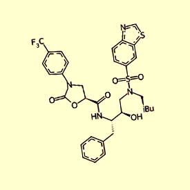 CC[C@H](C)CN(C[C@@H](O)[C@H](Cc1ccccc1)NC(=O)[C@@H]1CN(c2ccc(C(F)(F)F)cc2)C(=O)O1)S(=O)(=O)c1ccc2ncsc2c1